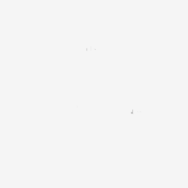 [CH2]c1ccc(OCCCCCCCCCCCCCC)c(OCCCCCCCCCCCCCC)c1